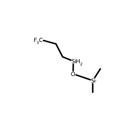 C[Si](C)O[SiH2]CCC(F)(F)F